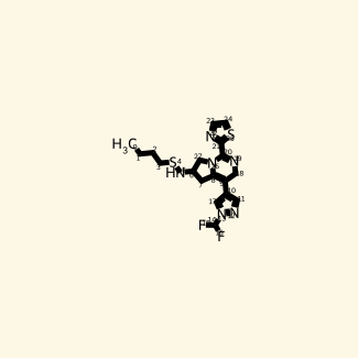 CCCCSNC1CC2=C(c3cnn(C(F)F)c3)CN=C(c3nccs3)N2C1